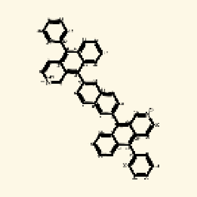 C1=Cc2c(c(-c3ccc4cc(-c5c6ccccc6c(-c6ccccc6)c6ccncc56)ccc4c3)c3ccccc3c2-c2ccccc2)CN1